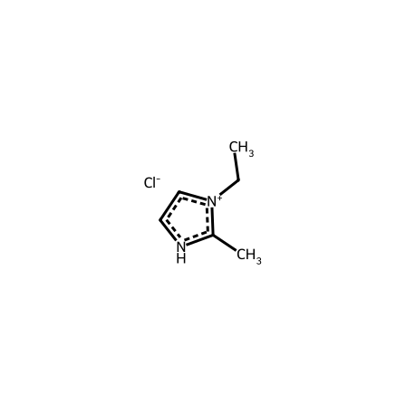 CC[n+]1cc[nH]c1C.[Cl-]